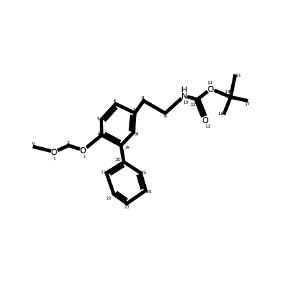 COCOc1ccc(CCNC(=O)OC(C)(C)C)cc1-c1ccccc1